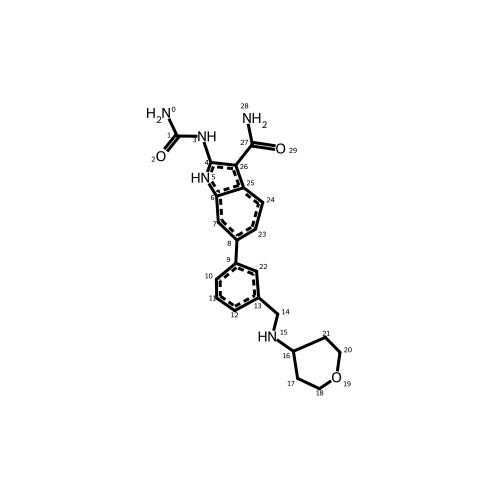 NC(=O)Nc1[nH]c2cc(-c3cccc(CNC4CCOCC4)c3)ccc2c1C(N)=O